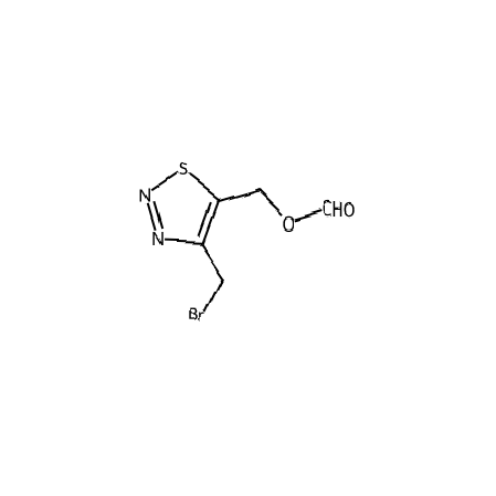 O=COCc1snnc1CBr